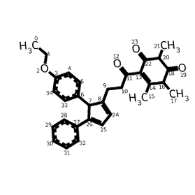 CCOc1ccc(C2C(CCC(=O)C3=C(C)C(C)C(=O)C(C)C3=O)=CC=C2c2ccccc2)cc1